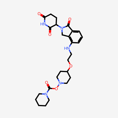 O=C1CCC(N2Cc3c(NCCOC4CCN(OC(=O)N5CCCCC5)CC4)cccc3C2=O)C(=O)N1